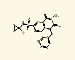 Cn1c(=O)c2cc(S(=O)(=O)NC3(C)CC3)ccc2n(Cc2cnccn2)c1=O